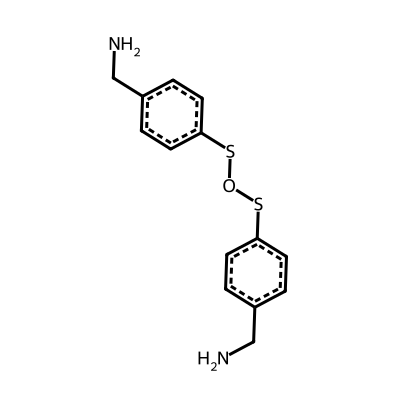 NCc1ccc(SOSc2ccc(CN)cc2)cc1